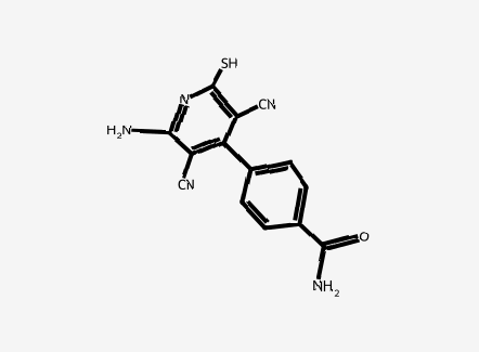 N#Cc1c(N)nc(S)c(C#N)c1-c1ccc(C(N)=O)cc1